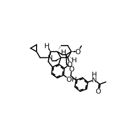 CO[C@]12CC[C@@]3(C[C@@H]1COCc1cccc(NC(C)=O)c1)[C@H]1Cc4ccc(O)c5c4[C@@]3(CCN1CC1CC1)[C@H]2O5